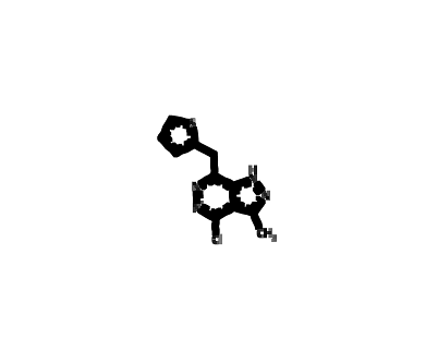 Cc1n[nH]c2c(Cc3cccs3)nnc(Cl)c12